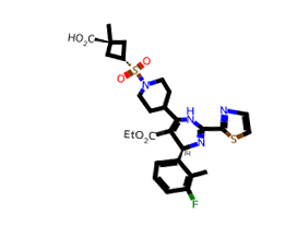 CCOC(=O)C1=C(C2CCN(S(=O)(=O)[C@H]3C[C@](C)(C(=O)O)C3)CC2)NC(c2nccs2)=N[C@H]1c1cccc(F)c1C